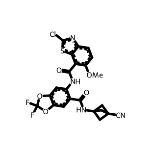 COc1ccc2nc(Cl)sc2c1C(=O)Nc1cc2c(cc1C(=O)NC13CC(C#N)(C1)C3)OC(F)(F)O2